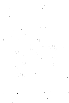 CCOC(=O)c1oc(C)nc1-c1cccc(F)c1